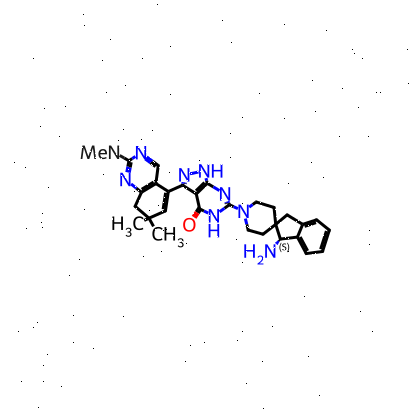 CNc1ncc2c(n1)CC(C)(C)C=C2c1n[nH]c2nc(N3CCC4(CC3)Cc3ccccc3[C@H]4N)[nH]c(=O)c12